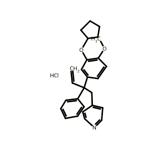 C=CC(Cc1ccncc1)(c1ccccc1)c1ccc(OC)c(OC2CCCC2)c1.Cl